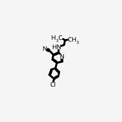 CC(C)CNc1ncc(-c2ccc(Cl)cc2)cc1C#N